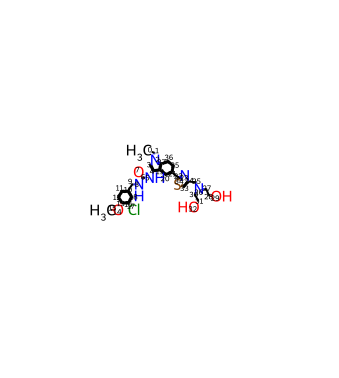 CCn1cc(NC(=O)NCc2ccc(OC)c(Cl)c2)c2cc(-c3nc(CN(CCO)CCO)cs3)ccc21